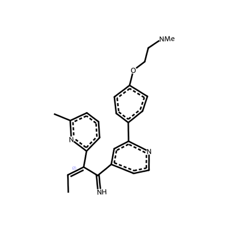 C/C=C(\C(=N)c1ccnc(-c2ccc(OCCNC)cc2)c1)c1cccc(C)n1